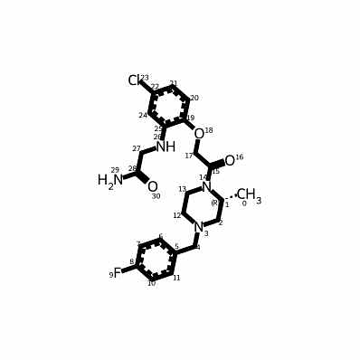 C[C@@H]1CN(Cc2ccc(F)cc2)CCN1C(=O)COc1ccc(Cl)cc1NCC(N)=O